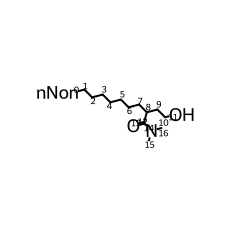 CCCCCCCCCCCCCCCCC(CCO)C(=O)N(C)C